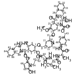 COc1cc2c(cc1OCc1ccnc(COc3cc4c(cc3OC)C(=O)N3Cc5ccccc5C[C@H]3C(O)N4C(=O)OCc3ccc(NC(=O)[C@H](C)NC(=O)[C@@H](NC(=O)CCCCCN4C(=O)C=CC4O)C(C)C)cc3)c1)N=C[C@@H]1Cc3ccccc3CN1C2=O